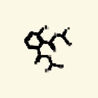 CCC(OC(=O)c1cccc(C(C)(C)C)c1C(=O)OC(CC)C(C)C)C(C)C